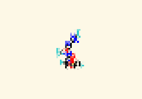 C[C@H]1[C@H](F)C[C@@H](C(=O)NCc2cc(-c3cnc(C(F)(F)F)nc3)ncc2OCC(F)(F)F)N1S(=O)(=O)c1ccc(F)cc1